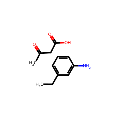 CC(=O)CC(=O)O.CCc1cccc(N)c1